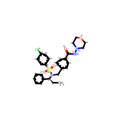 CC[C@@H](c1ccccc1)N(Cc1ccc(C(=O)NN2CCOCC2)cc1)S(=O)(=O)c1ccc(Cl)cc1